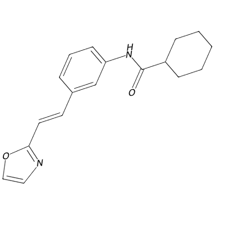 O=C(Nc1cccc(C=Cc2ncco2)c1)C1CCCCC1